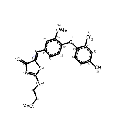 COCCNC1=NC(=O)/C(=C/c2ccc(Oc3ccc(C#N)cc3C(F)(F)F)c(OC)c2)S1